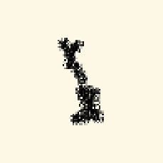 c1cc(-c2ccc3sc4cc(-c5ccc6sc7c(-c8ccc(N(c9ccc%10ccccc%10c9)c9ccc%10ccccc%10c9)cc8)cccc7c6c5)ccc4c3c2)cc(N(c2ccc3ccccc3c2)c2ccc3cccc(-c4ccc5cc(N(c6cccc(-c7cccc8c7sc7ccccc78)c6)c6ccc7ccccc7c6)ccc5c4)c3c2)c1